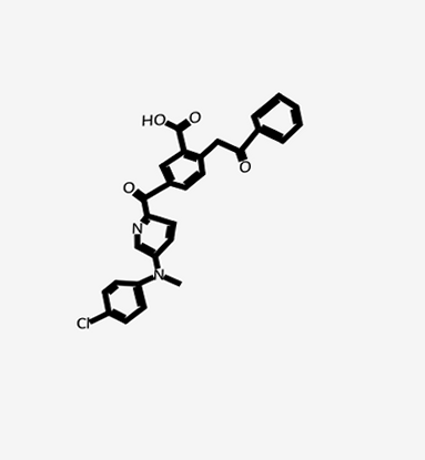 CN(c1ccc(Cl)cc1)c1ccc(C(=O)c2ccc(CC(=O)c3ccccc3)c(C(=O)O)c2)nc1